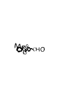 COc1cc(CCC=O)ccc1C(=O)Oc1ccccc1